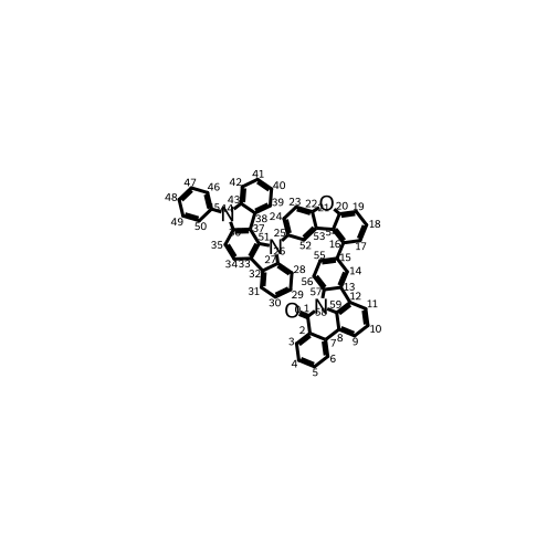 O=c1c2ccccc2c2cccc3c4cc(-c5cccc6oc7ccc(-n8c9ccccc9c9ccc%10c(c%11ccccc%11n%10-c%10ccccc%10)c98)cc7c56)ccc4n1c23